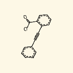 O=C(Cl)c1ccccc1C#Cc1ccccc1